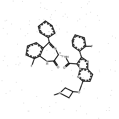 CN1CC(Oc2ccc3nc(-c4ccccc4F)c(C(=O)N[C@H]4N=C(c5ccccc5)c5cccc(F)c5NC4=O)n3n2)C1